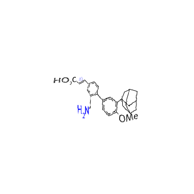 COc1ccc(-c2ccc(/C=C/C(=O)O)cc2CN)cc1C12CC3CC(CC(C3)C1)C2